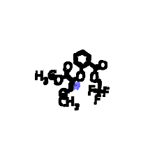 CO/C=C(/Oc1ccccc1C(=O)OCC(F)(F)F)C(=O)OC